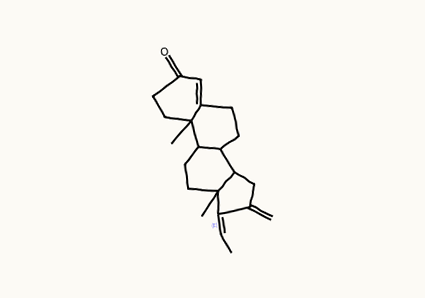 C=C1CC2C3CCC4=CC(=O)CCC4(C)C3CCC2(C)/C1=C/C